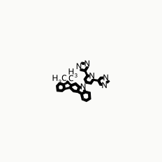 CC1(C)c2ccccc2-c2cc3c4ccccc4n(-c4cc(-c5cncnc5)nc(-c5cncnc5)c4)c3cc21